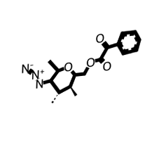 CC1OC(COC(=O)C(=O)c2ccccc2)[C@@H](C)[C@H](C)C1N=[N+]=[N-]